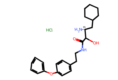 Cl.N[C@H](CC1CCCCC1)C(O)C(=O)NCCc1ccc(Oc2ccccc2)cc1